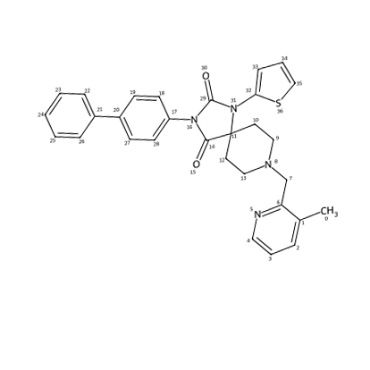 Cc1cccnc1CN1CCC2(CC1)C(=O)N(c1ccc(-c3ccccc3)cc1)C(=O)N2c1cccs1